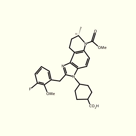 COC(=O)N1c2ccc3c(nc(Cc4cccc(F)c4OC)n3C3CCC(C(=O)O)CC3)c2CC[C@@H]1C